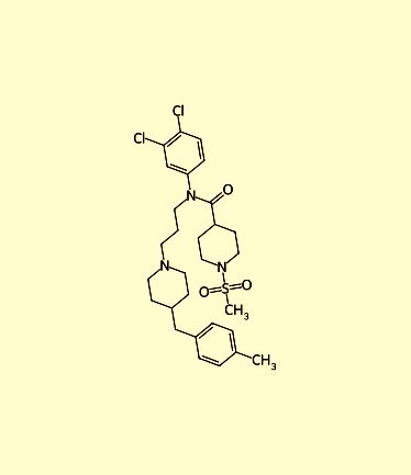 Cc1ccc(CC2CCN(CCCN(C(=O)C3CCN(S(C)(=O)=O)CC3)c3ccc(Cl)c(Cl)c3)CC2)cc1